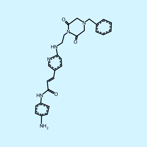 Nc1ccc(NC(=O)C=Cc2ccc(NCCN3C(=O)CN(Cc4ccccc4)CC3=O)nc2)cc1